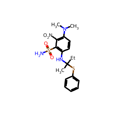 CCC(C)(Nc1ccc(N(C)C)c([N+](=O)[O-])c1S(N)(=O)=O)Sc1ccccc1